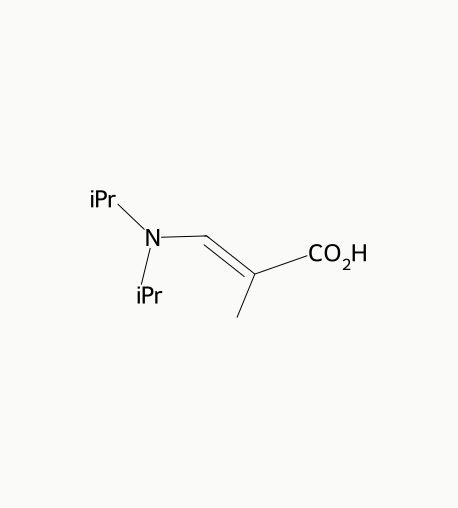 CC(=CN(C(C)C)C(C)C)C(=O)O